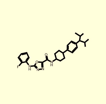 CC(C)C(c1ccc(C2CCC(NC(=O)c3nnc(Nc4ccccc4F)o3)CC2)cc1)C(C)C